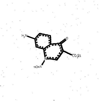 CCCCCCCCn1cc(C(=O)OCC)c(=O)c2ccc(N)cc21